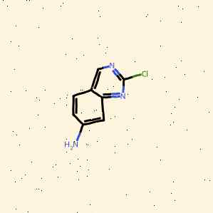 Nc1ccc2cnc(Cl)nc2c1